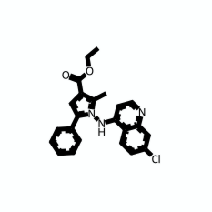 CCOC(=O)c1cc(-c2ccccc2)n(Nc2ccnc3cc(Cl)ccc23)c1C